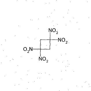 O=[N+]([O-])C1([N+](=O)[O-])CC([N+](=O)[O-])([N+](=O)[O-])C1